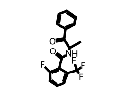 CC(NC(=O)c1c(F)cccc1C(F)(F)F)C(=O)c1ccccc1